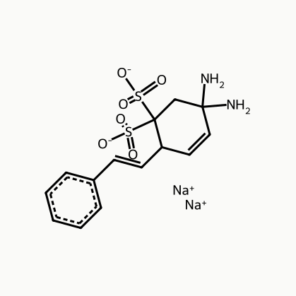 NC1(N)C=CC(C=Cc2ccccc2)C(S(=O)(=O)[O-])(S(=O)(=O)[O-])C1.[Na+].[Na+]